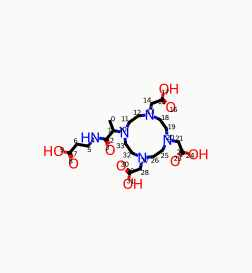 CC(C(=O)NCCC(=O)O)N1CCN(CC(=O)O)CCN(CC(=O)O)CCN(CC(=O)O)CC1